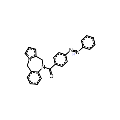 O=C(c1ccc(/N=N/c2ccccc2)cc1)N1Cc2cccn2Cc2ccccc21